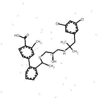 Cc1cc(-c2ccccc2C(C)OC[C@H](O)CNC(C)(C)Cc2cc(Cl)cc(Cl)c2)ccc1C(=O)O